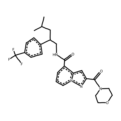 CC(C)CC(CNC(=O)c1cccn2nc(C(=O)N3CCOCC3)cc12)c1ccc(C(F)(F)F)cc1